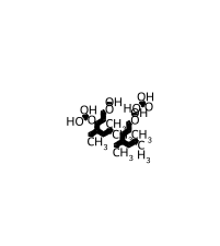 CCC(CCCOO)CC(C)C.CCC(CCCOO)CC(C)C.O=C(O)O.O=C(O)O